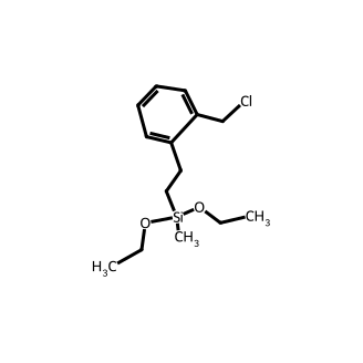 CCO[Si](C)(CCc1ccccc1CCl)OCC